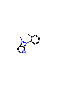 Cc1ccccc1-n1c2[nH]ccc2n1C